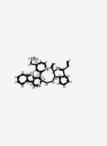 C=CC1=NC2C(=C)[n+]3ccc(CC(C)(C)C)cc3-c3c(ncc4c3oc3ccccc34)CCC2c2ccccc21